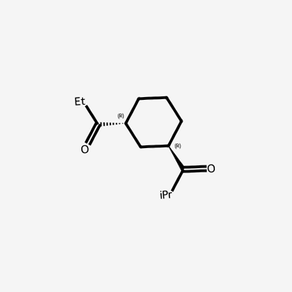 CCC(=O)[C@@H]1CCC[C@@H](C(=O)C(C)C)C1